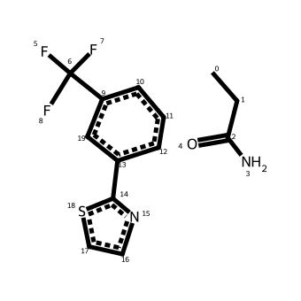 CCC(N)=O.FC(F)(F)c1cccc(-c2nccs2)c1